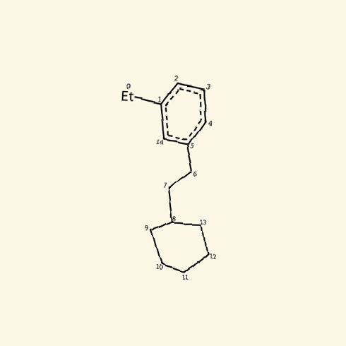 CCc1cccc(CCC2CCCCC2)c1